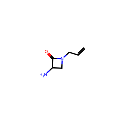 C=CCN1CC(N)C1=O